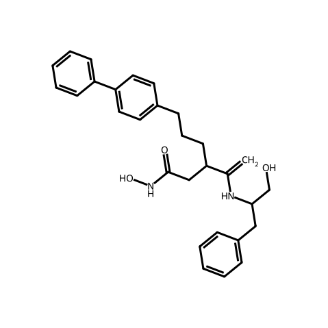 C=C(NC(CO)Cc1ccccc1)C(CCCc1ccc(-c2ccccc2)cc1)CC(=O)NO